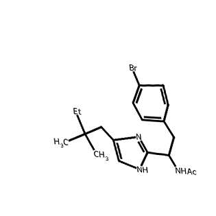 CCC(C)(C)Cc1c[nH]c(C(Cc2ccc(Br)cc2)NC(C)=O)n1